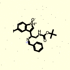 CC(C)(C)OC(=O)NCC(/N=C\c1ccccc1)C1=C[NH+]([O-])c2ccc(I)cc21